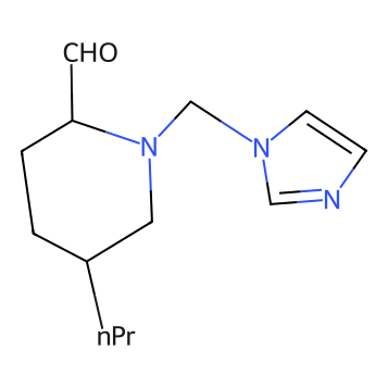 CCCC1CCC(C=O)N(Cn2ccnc2)C1